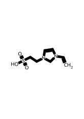 C=CN1C=CN(CCS(=O)(=O)O)C1